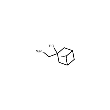 COCC1(O)CC2CC(C1)N2C